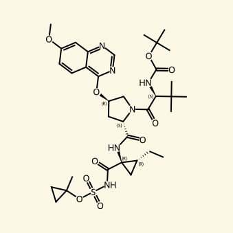 CC[C@@H]1C[C@]1(NC(=O)[C@@H]1C[C@@H](Oc2ncnc3cc(OC)ccc23)CN1C(=O)[C@@H](NC(=O)OC(C)(C)C)C(C)(C)C)C(=O)NS(=O)(=O)OC1(C)CC1